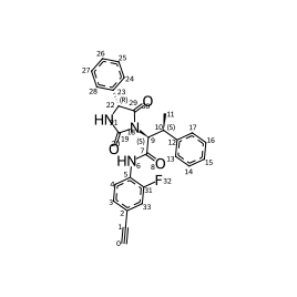 C#Cc1ccc(NC(=O)[C@H]([C@@H](C)c2ccccc2)N2C(=O)N[C@H](c3ccccc3)C2=O)c(F)c1